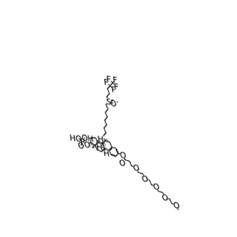 COCCOCCOCCOCCOCCC(=O)Oc1ccc2c(c1)C[C@@H](CCCCCCCCC[S+]([O-])CCCC(F)(F)C(F)(F)F)[C@@H]1[C@@H]2CC[C@]2(C)[C@@H](OP(=O)(O)O)CC[C@@H]12